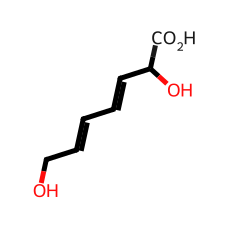 O=C(O)C(O)C=CC=CCO